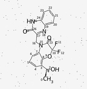 C[C@H](O)c1cccc2c1OC(F)(F)C(=O)N2Cc1nc2ccccc2[nH]c1=O